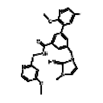 COc1ccnc(CNC(=O)c2cc(Cn3ccn(C)c3=N)cc(-c3cc(C)cnc3OC)c2)c1